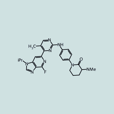 CNC1CCCN(c2ccc(Nc3ncc(C)c(-c4cc5c(ncn5C(C)C)c(F)n4)n3)cc2)C1=O